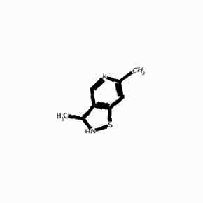 Cc1cc2c(cn1)C(C)NS2